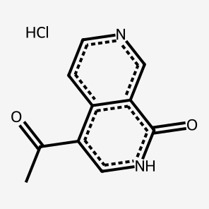 CC(=O)c1c[nH]c(=O)c2cnccc12.Cl